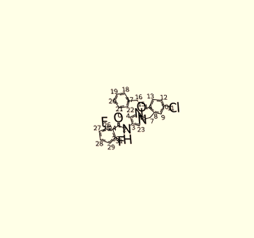 O=C(Nc1cnn(Cc2cc(Cl)ccc2OCc2ccccc2)c1)c1c(F)cccc1F